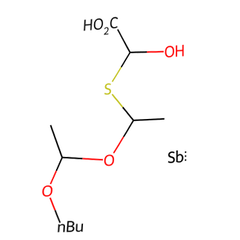 CCCCOC(C)OC(C)SC(O)C(=O)O.[Sb]